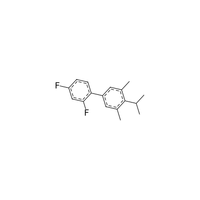 Cc1cc(-c2ccc(F)cc2F)cc(C)c1C(C)C